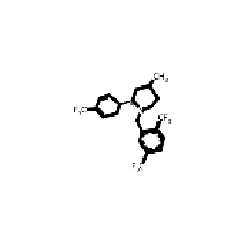 CC1CCN(Cc2cc(C(F)(F)F)ccc2C(F)(F)F)[C@@H](C2C=CC(C(F)(F)F)=CC2)C1